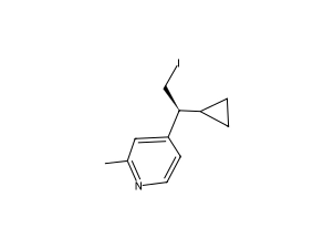 Cc1cc([C@@H](CI)C2CC2)ccn1